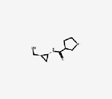 O=C(N[C@@H]1C[C@H]1CO)C1CCNC1